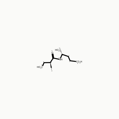 O=C(O)CC[C@H](NC(=O)[C@@H](I)CC(=O)O)C(=O)O